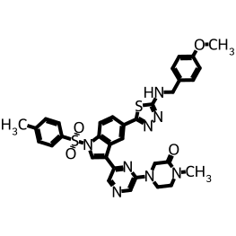 COc1ccc(CNc2nnc(-c3ccc4c(c3)c(-c3cncc(N5CCN(C)C(=O)C5)n3)cn4S(=O)(=O)c3ccc(C)cc3)s2)cc1